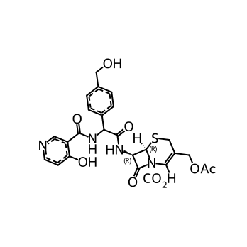 CC(=O)OCC1=C(C(=O)O)N2C(=O)[C@@H](NC(=O)C(NC(=O)c3cnccc3O)c3ccc(CO)cc3)[C@H]2SC1